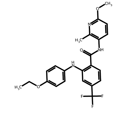 CCOc1ccc(Nc2cc(C(F)(F)F)ccc2C(=O)Nc2ccc(OC)nc2C)cc1